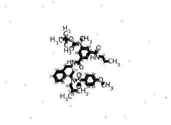 CCCNC(=O)c1cc(C(=O)N[C@H](CCN(CC(C)C)S(=O)(=O)c2ccc(OC)cc2)Cc2ccccc2)cc(N(C)C(=O)OC(C)(C)C)c1